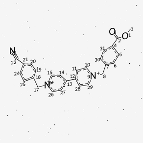 COC(=O)c1ccc(C[n+]2ccc(-c3cc[n+](Cc4ccc(C#N)cc4)cc3)cc2)cc1